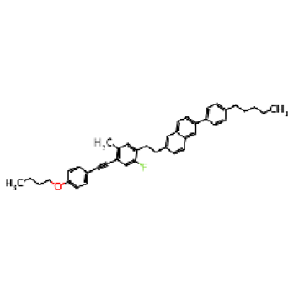 CCCCCc1ccc(-c2ccc3cc(CCc4cc(C)c(C#Cc5ccc(OCCCC)cc5)cc4F)ccc3c2)cc1